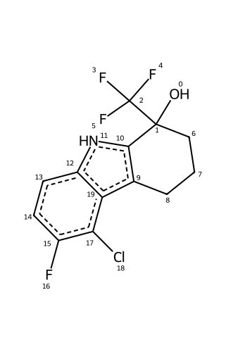 OC1(C(F)(F)F)CCCc2c1[nH]c1ccc(F)c(Cl)c21